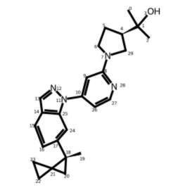 CC(C)(O)[C@@H]1CCN(c2cc(-n3ncc4ccc([C@]5(C)CC56CC6)cc43)ccn2)C1